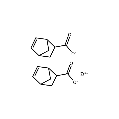 O=C([O-])C1CC2C=CC1C2.O=C([O-])C1CC2C=CC1C2.[Zr+2]